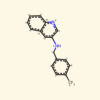 FC(F)(F)c1ccc(CNc2cnc3ccccc3c2)cc1